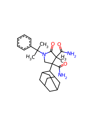 CC(C)(c1ccccc1)N1CC(C(N)=O)(C2C3CC4CC(C3)CC2C4)C(C)(C(N)=O)C1=O